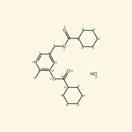 Cc1ncc(COC(=O)C2CCCCC2)cc1OC(=O)C1CCCCC1.Cl